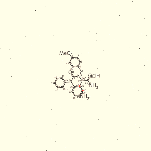 COc1ccc(CN(C(=O)C(c2ccccc2)c2ccccc2)[C@H](CCN)C(N)=O)cc1.Cl